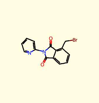 O=C1c2cccc(CBr)c2C(=O)N1c1ccccn1